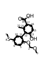 COCOc1ccc(SC)cc1-c1c(O)ccc(C(=O)O)c1C